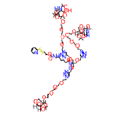 CC(=O)N[C@@H]1[C@H]2OC(C)(C)O[C@H]2[C@@](C)(COCCOCCOCCOCCn2cc(COCC(COCc3cn(CCOCCOCCOCCOC[C@@]45CO[C@@H](O4)[C@H](NC(C)=O)[C@H]4OC(C)(C)O[C@H]45)nn3)(COCc3cn(CCOCCOCCOCCOC[C@]45CO[C@H](C[C@H]6OC(C)(C)O[C@H]64)O5)nn3)NC(=O)CCCCCNC(=O)OCCSSc3ccccn3)nn2)O[C@@H]1O